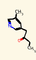 CCC(=O)Cc1cncc(C)c1